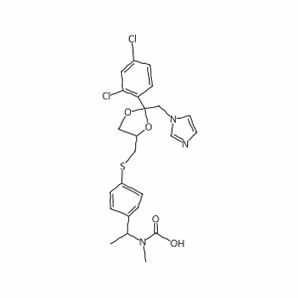 CC(c1ccc(SCC2COC(Cn3ccnc3)(c3ccc(Cl)cc3Cl)O2)cc1)N(C)C(=O)O